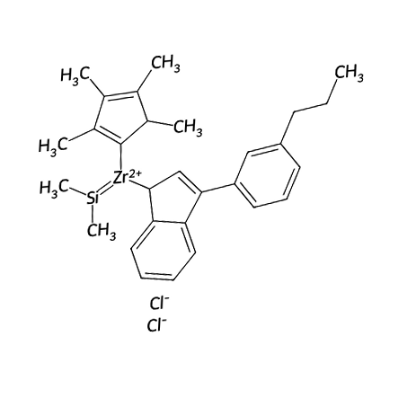 CCCc1cccc(C2=C[CH]([Zr+2]([C]3=C(C)C(C)=C(C)C3C)=[Si](C)C)c3ccccc32)c1.[Cl-].[Cl-]